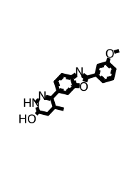 COc1cccc(-c2nc3ccc(C4=NNC(O)CC4C)cc3o2)c1